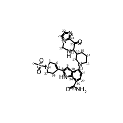 CS(=O)(=O)N1CC=C(c2cc3c(N4CCCC(C5NCn6ccnc6C5=O)C4)ccc(C(N)=O)c3[nH]2)CC1